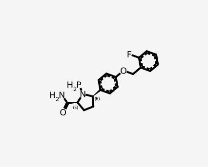 NC(=O)[C@@H]1CC[C@H](c2ccc(OCc3ccccc3F)cc2)N1P